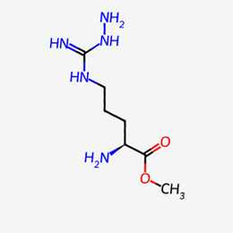 COC(=O)[C@@H](N)CCCNC(=N)NN